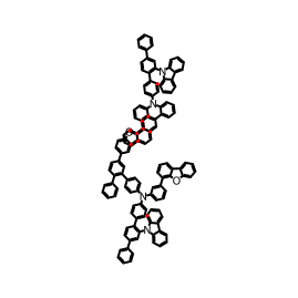 c1ccc(-c2ccc(-c3ccccc3N(c3ccc(-c4ccc(-c5ccccc5)cc4-n4c5ccccc5c5ccccc54)cc3)c3cccc(-c4cccc5c4oc4ccc(-c6ccc(-c7ccccc7)c(-c7ccc(N(c8ccc(-c9ccc(-c%10ccccc%10)cc9-n9c%10ccccc%10c%10ccccc%109)cc8)c8cccc(-c9cccc%10c9oc9ccccc9%10)c8)cc7)c6)cc45)c3)cc2)cc1